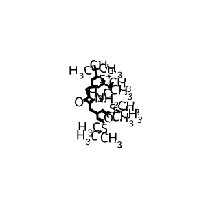 CC(C)(C)SC1=CC(=CC2=C(N)C(=Cc3cc(C(C)(C)C)[s+]c(C(C)(C)C)c3)C2=O)C=C(SC(C)(C)C)O1